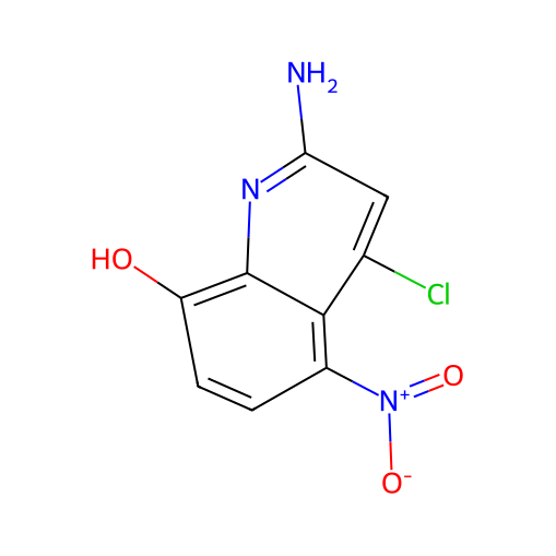 Nc1cc(Cl)c2c([N+](=O)[O-])ccc(O)c2n1